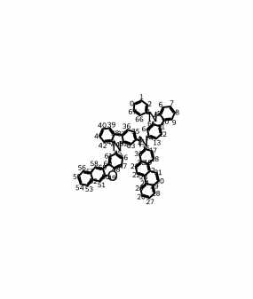 c1ccc(-n2c3ccccc3c3ccc(N(c4ccc5c(ccc6c7ccccc7ccc56)c4)c4ccc5c6ccccc6n(-c6ccc7oc8cc9ccccc9cc8c7c6)c5c4)cc32)cc1